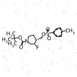 Cc1ccc(S(=O)(=O)OC[C@@H]2CCN(C(=O)OC(C)(C)C)C[C@@H]2F)cc1